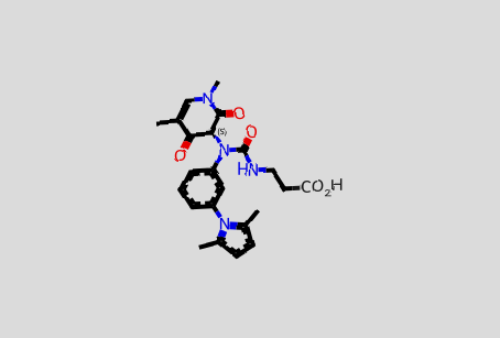 CC1=CN(C)C(=O)[C@@H](N(C(=O)NCCC(=O)O)c2cccc(-n3c(C)ccc3C)c2)C1=O